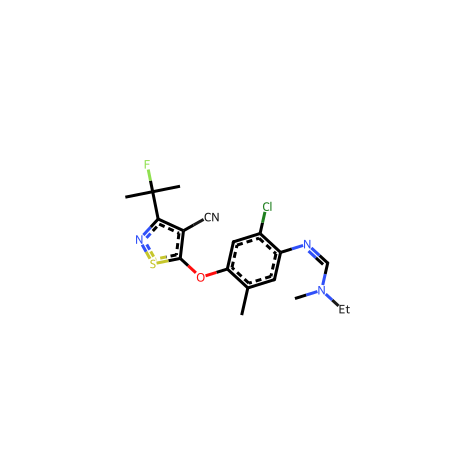 CCN(C)/C=N\c1cc(C)c(Oc2snc(C(C)(C)F)c2C#N)cc1Cl